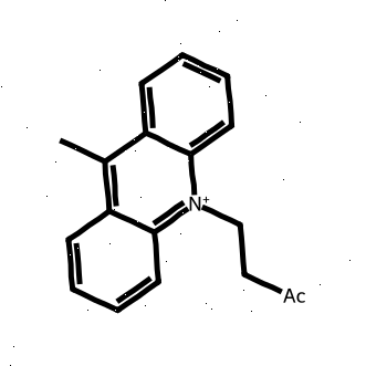 CC(=O)CC[n+]1c2ccccc2c(C)c2ccccc21